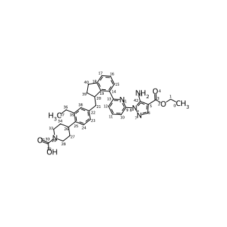 CCOC(=O)c1cnn(-c2cccc(-c3cccc4c3C(Cc3ccc(C5CCN(C(=O)O)CC5)c(CC)c3)CC4)n2)c1N